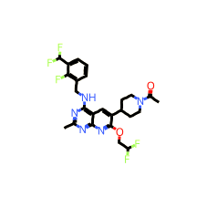 CC(=O)N1CCC(c2cc3c(NCc4cccc(C(F)F)c4F)nc(C)nc3nc2OCC(F)F)CC1